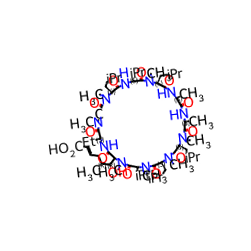 CC[C@@H]1NC(=O)C([C@H](O)[C@H](C)CC=CC(=O)O)N(C)C(=O)C(C(C)C)N(C)C(=O)[C@H](CC(C)C)N(C)C(=O)[C@H](CC(C)C)N(C)C(=O)[C@H](C)NC(=O)[C@H](C)NC(=O)[C@H](CC(C)C)N(C)C(=O)[C@H](C(C)C)NC(=O)[C@H](CC(C)C)N(C)C(=O)CN(C)C1=O